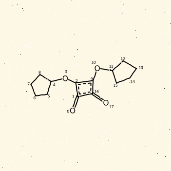 O=c1c(OC2CCCC2)c(OC2CCCC2)c1=O